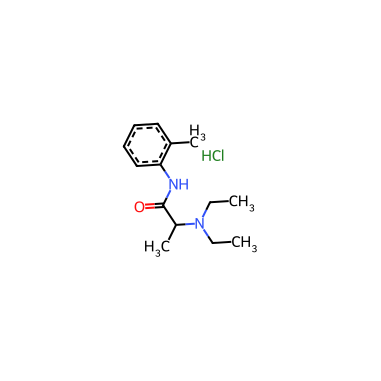 CCN(CC)C(C)C(=O)Nc1ccccc1C.Cl